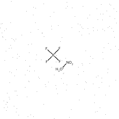 F[B-](F)(F)F.O=[N+]([O-])[OH2+]